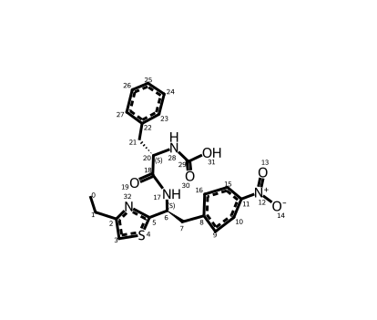 CCc1csc([C@H](Cc2ccc([N+](=O)[O-])cc2)NC(=O)[C@H](Cc2ccccc2)NC(=O)O)n1